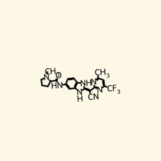 Cc1cc(C(F)(F)F)nc(C(C#N)=C2Nc3ccc(NC(=O)C4CCCN4C)cc3N2)n1